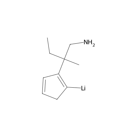 [Li][C]1=C(C(C)(CC)CN)C=CC1